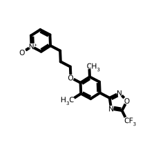 Cc1cc(-c2noc(C(F)(F)F)n2)cc(C)c1OCCCc1ccc[n+]([O-])c1